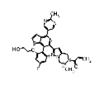 C=CC(=O)N1Cc2cc(-c3nc(-c4cnc(C)nc4)c4ccsc4c3-c3c(F)cc(F)cc3OCCO)nn2C[C@H]1C